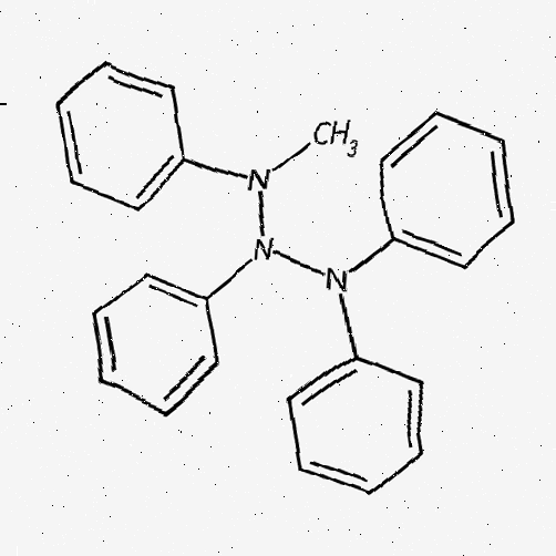 CN(c1ccccc1)N(c1ccccc1)N(c1ccccc1)c1ccccc1